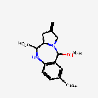 C=C1CC2C(S(=O)(=O)O)Nc3ccc(OC)cc3C(O)N2C1.[NaH]